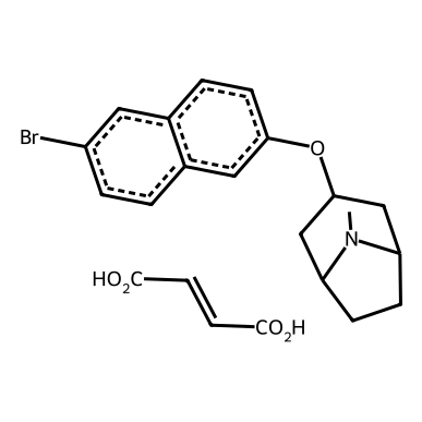 CN1C2CCC1CC(Oc1ccc3cc(Br)ccc3c1)C2.O=C(O)/C=C/C(=O)O